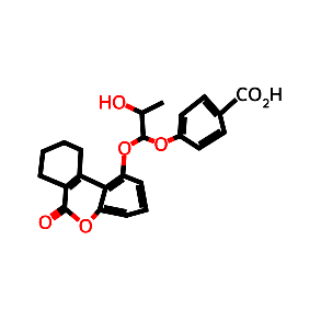 CC(O)C(Oc1ccc(C(=O)O)cc1)Oc1cccc2oc(=O)c3c(c12)CCCC3